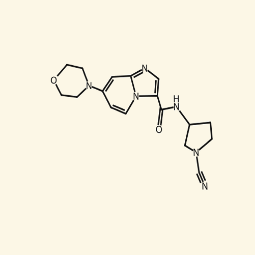 N#CN1CCC(NC(=O)c2cnc3cc(N4CCOCC4)ccn23)C1